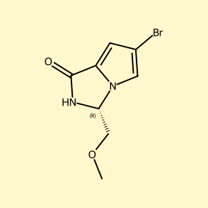 COC[C@@H]1NC(=O)c2cc(Br)cn21